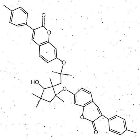 Cc1ccc(-c2cc3ccc(OC(C)(C)CC4(C)C(O)C(C)(C)CC4(C)Oc4ccc5cc(-c6ccc(C)cc6)c(=O)oc5c4)cc3oc2=O)cc1